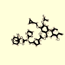 C=C/C(Cl)=C(C[C@H](OC(=O)c1ccc(CN(C(=O)O[C@H]2CN3CCC2CC3)c2nccs2)s1)c1ccc(OC(F)F)c(OCC2CC2)c1)\C(Cl)=C/C